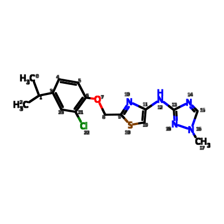 CC(C)c1ccc(OCc2nc(Nc3ncn(C)n3)cs2)c(Cl)c1